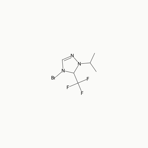 CC(C)N1N=CN(Br)C1C(F)(F)F